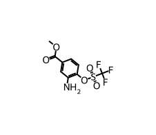 COC(=O)c1ccc(OS(=O)(=O)C(F)(F)F)c(N)c1